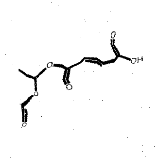 CC(O[C]=O)OC(=O)/C=C/C(=O)O